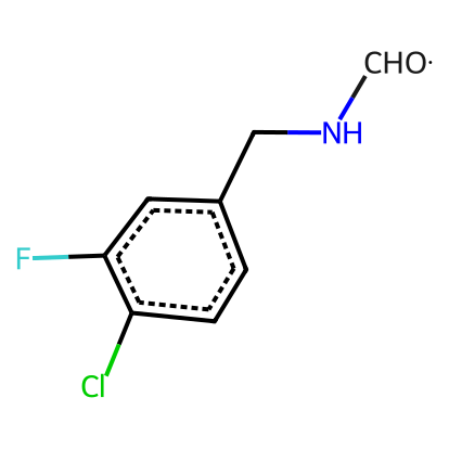 O=[C]NCc1ccc(Cl)c(F)c1